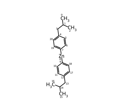 CC(C)Cc1cc[c]([Zn][c]2ccc(CC(C)C)cc2)cc1